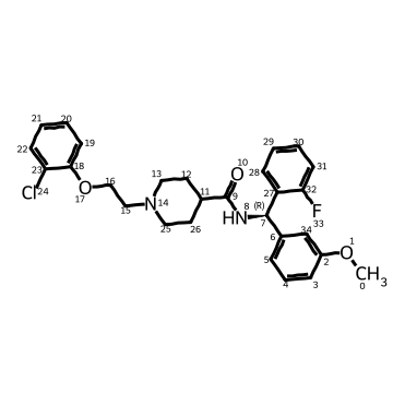 COc1cccc([C@@H](NC(=O)C2CCN(CCOc3ccccc3Cl)CC2)c2ccccc2F)c1